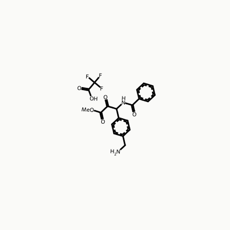 COC(=O)C(=O)C(NC(=O)c1ccccc1)c1ccc(CN)cc1.O=C(O)C(F)(F)F